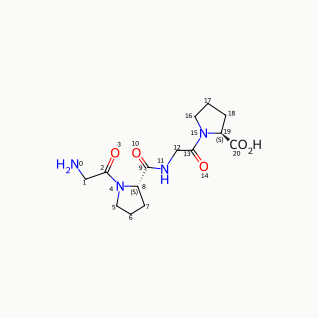 NCC(=O)N1CCC[C@H]1C(=O)NCC(=O)N1CCC[C@H]1C(=O)O